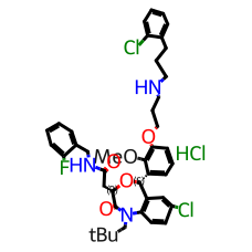 COc1c(OCCCNCCCc2ccccc2Cl)cccc1[C@H]1O[C@H](CC(=O)NCc2ccccc2F)C(=O)N(CC(C)(C)C)c2ccc(Cl)cc21.Cl